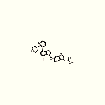 COC(=O)CC1COc2cc(O[C@@H]3CCc4c(-c5cccnc5C5=CCOCC5)ccc(F)c43)ccc21